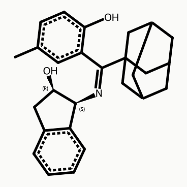 Cc1ccc(O)c(C(=N[C@H]2c3ccccc3C[C@H]2O)C23CC4CC(CC(C4)C2)C3)c1